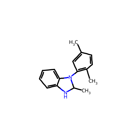 Cc1ccc(C)c(N2c3ccccc3NC2C)c1